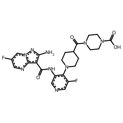 Nc1nn2cc(F)cnc2c1C(=O)Nc1cncc(F)c1N1CCC(C(=O)N2CCN(C(=O)O)CC2)CC1